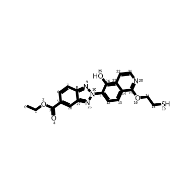 CCOC(=O)c1ccc2nn(-c3ccc4c(OCCS)nccc4c3O)nc2c1